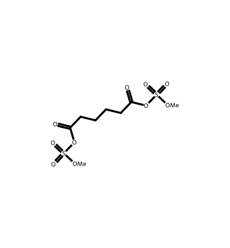 COS(=O)(=O)OC(=O)CCCCC(=O)OS(=O)(=O)OC